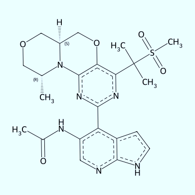 CC(=O)Nc1cnc2[nH]ccc2c1-c1nc2c(c(C(C)(C)S(C)(=O)=O)n1)OC[C@@H]1COC[C@@H](C)N21